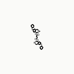 CN1CCc2cc(Sc3ccccc3)ccc2C(OC(=O)/C=C/C(=O)OC2CN(C)CCc3cc(Sc4ccccc4)ccc32)C1